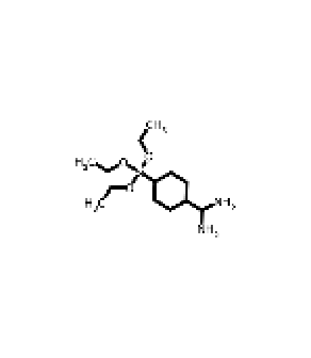 CCO[Si](OCC)(OCC)C1CCC(C(N)N)CC1